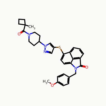 COc1ccc(CN2C(=O)c3cccc4c(Sc5cnn(C6CCN(C(=O)C7(C)CCC7)CC6)c5)ccc2c34)cc1